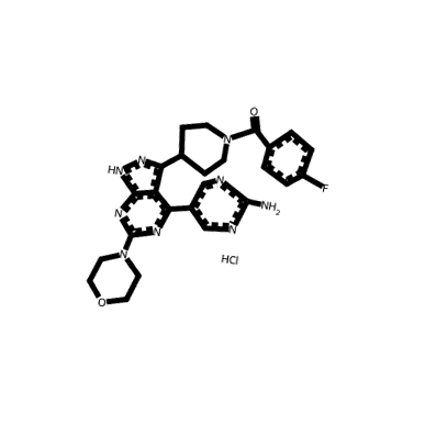 Cl.Nc1ncc(-c2nc(N3CCOCC3)nc3[nH]nc(C4CCN(C(=O)c5ccc(F)cc5)CC4)c23)cn1